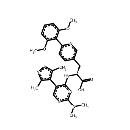 COc1cccc(OC)c1-c1ccc(C[C@H](Nc2nc(N(C)C)ncc2-c2c(C)nsc2C)C(=O)O)cn1